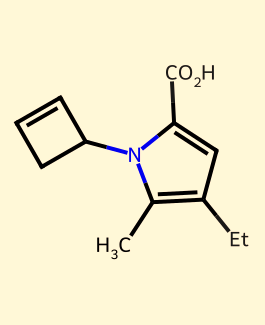 CCc1cc(C(=O)O)n(C2C=CC2)c1C